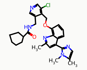 Cc1cc(-c2ncc(C)n2C)c2cccc(OCc3c(Cl)cncc3CNC(=O)C3CCCCC3)c2n1